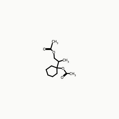 CC(=O)OCC(C)C1(OC(C)=O)CCCCC1